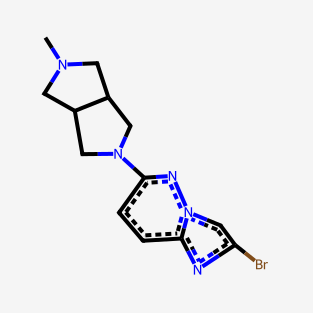 CN1CC2CN(c3ccc4nc(Br)cn4n3)CC2C1